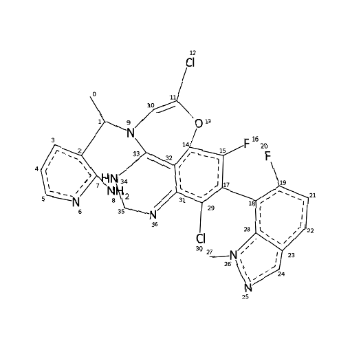 CC(c1cccnc1N)N1C=C(Cl)Oc2c(F)c(-c3c(F)ccc4cnn(C)c34)c(Cl)c3c2=C1NCN=3